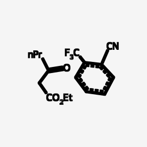 CCCC(=O)CC(=O)OCC.N#Cc1ccccc1C(F)(F)F